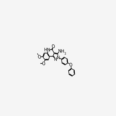 COc1cc2[nH]c(=O)c3c(N)n(-c4ccc(Oc5ccccc5)cc4)nc3c2cc1OC